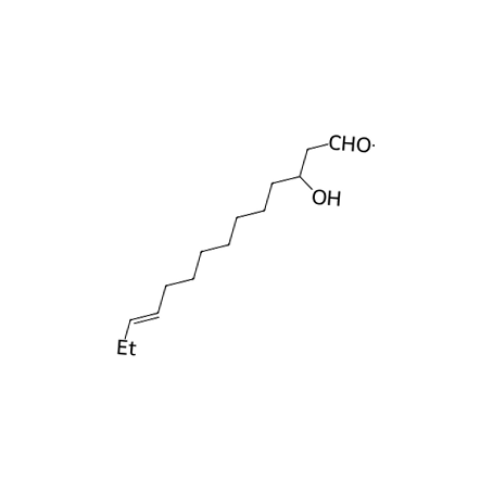 CCC=CCCCCCCCC(O)C[C]=O